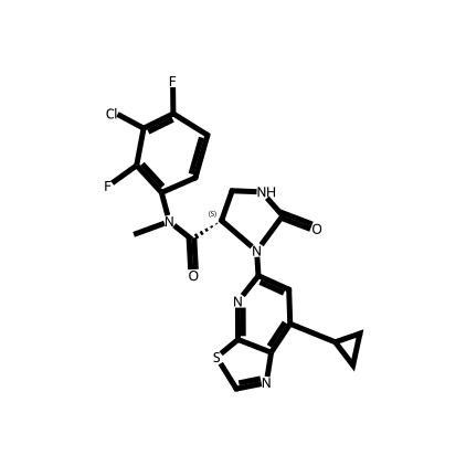 CN(C(=O)[C@@H]1CNC(=O)N1c1cc(C2CC2)c2ncsc2n1)c1ccc(F)c(Cl)c1F